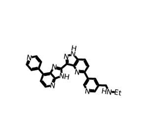 CCNCc1cncc(-c2ccc3[nH]nc(-c4nc5c(-c6ccncc6)ccnc5[nH]4)c3n2)c1